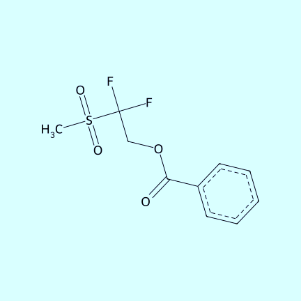 CS(=O)(=O)C(F)(F)COC(=O)c1ccccc1